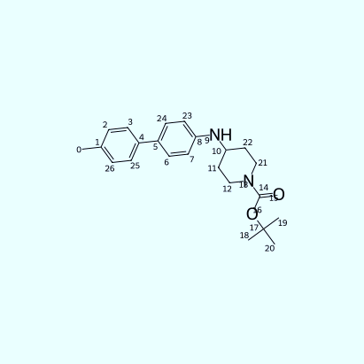 Cc1ccc(-c2ccc(NC3CCN(C(=O)OC(C)(C)C)CC3)cc2)cc1